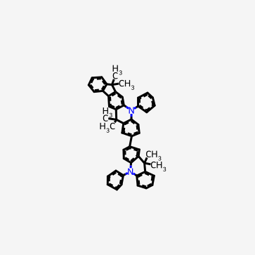 CC1(C)c2ccccc2-c2cc3c(cc21)N(c1ccccc1)c1ccc(-c2ccc4c(c2)C(C)(C)c2ccccc2N4c2ccccc2)cc1C3(C)C